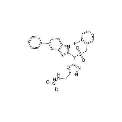 O=[SH](=O)NCc1nnc(C(c2nc3ccc(-c4ccccc4)cc3s2)S(=O)(=O)Cc2ccccc2F)o1